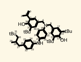 C=C(C)c1cc(CN(Cc2cc(C(C)(C)C)c(O)c(C(C)(C)C)c2)c2ccc(Nc3ccc(CC(C)CC(C)(C)C)cc3)cc2)cc(C(C)(C)C)c1O